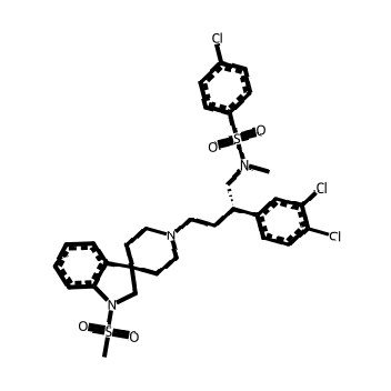 CN(C[C@@H](CCN1CCC2(CC1)CN(S(C)(=O)=O)c1ccccc12)c1ccc(Cl)c(Cl)c1)S(=O)(=O)c1ccc(Cl)cc1